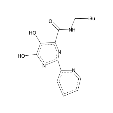 CCC(C)CNC(=O)c1nc(-c2ccccn2)nc(O)c1O